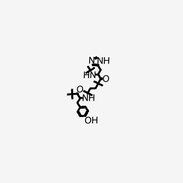 CC(C)(C)NC(Cc1cnc[nH]1)C(=O)C(C)(C)CCC(C)(C)NC(Cc1ccc(O)cc1)C(=O)C(C)(C)C